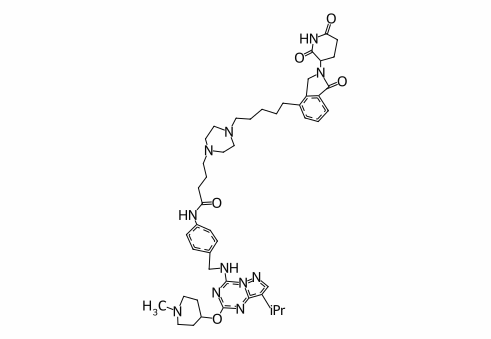 CC(C)c1cnn2c(NCc3ccc(NC(=O)CCCN4CCN(CCCCCc5cccc6c5CN(C5CCC(=O)NC5=O)C6=O)CC4)cc3)nc(OC3CCN(C)CC3)nc12